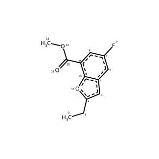 CCc1cc2cc(F)cc(C(=O)OC)c2o1